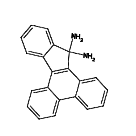 NC1(N)c2ccccc2-c2c1c1ccccc1c1ccccc21